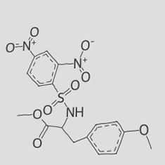 COC(=O)C(Cc1ccc(OC)cc1)NS(=O)(=O)c1ccc([N+](=O)[O-])cc1[N+](=O)[O-]